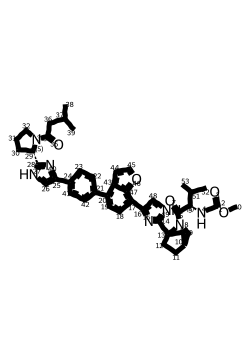 COC(=O)N[C@H](C(=O)N1CC2CCC1(c1nc(-c3ccc(-c4ccc(-c5c[nH]c([C@@H]6CCCN6C(=O)CC(C)C)n5)cc4)c4ccoc34)c[nH]1)C2)C(C)C